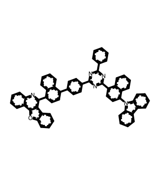 c1ccc(-c2nc(-c3ccc(-c4ccc(-c5nc6ccccc6c6oc7ccccc7c56)c5ccccc45)cc3)nc(-c3ccc(-n4c5ccccc5c5ccccc54)c4ccccc34)n2)cc1